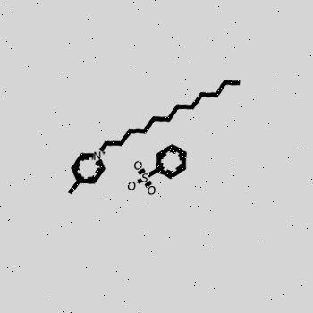 CCCCCCCCCCCC[n+]1ccc(C)cc1.O=S(=O)([O-])c1ccccc1